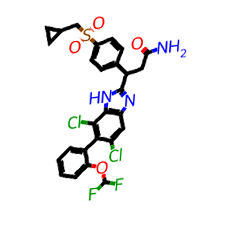 NC(=O)CC(c1ccc(S(=O)(=O)CC2CC2)cc1)c1nc2cc(Cl)c(-c3ccccc3OC(F)F)c(Cl)c2[nH]1